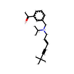 CC(=O)c1cccc(CN(CC=CC#CC(C)(C)C)C(C)C)c1